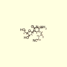 CC(=Cc1cn([C@H]2C[C@H](O)[C@@H](CO)O2)c(=O)nc1N)CCC#N